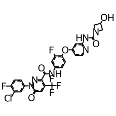 O=C(Nc1ccc(Oc2ccnc(NC(=O)N3CC(O)C3)c2)c(F)c1)c1nn(-c2ccc(F)c(Cl)c2)c(=O)cc1C(F)(F)F